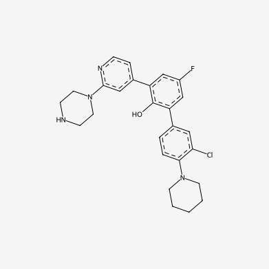 Oc1c(-c2ccnc(N3CCNCC3)c2)cc(F)cc1-c1ccc(N2CCCCC2)c(Cl)c1